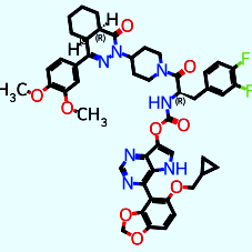 COc1ccc(C2=NN(C3CCN(C(=O)[C@@H](Cc4ccc(F)c(F)c4)NC(=O)Oc4c[nH]c5c(-c6c(OCC7CC7)ccc7c6OCO7)ncnc45)CC3)C(=O)[C@@H]3CCCC[C@H]23)cc1OC